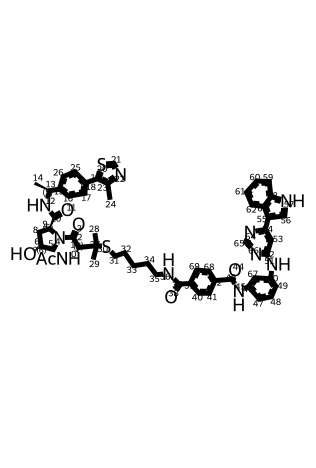 CC(=O)N[C@H](C(=O)N1C[C@H](O)C[C@H]1C(=O)N[C@@H](C)c1ccc(-c2scnc2C)cc1)C(C)(C)SCCCCCNC(=O)c1ccc(C(=O)Nc2cccc(Nc3cc(-c4c[nH]c5ccccc45)ncn3)c2)cc1